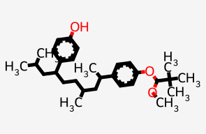 COC(Oc1ccc(C(C)CC(C)CCC(CC(C)C)c2ccc(O)cc2)cc1)C(C)(C)C